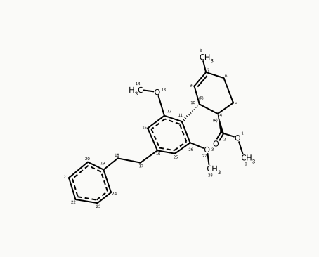 COC(=O)[C@@H]1CCC(C)=C[C@H]1c1c(OC)cc(CCc2ccccc2)cc1OC